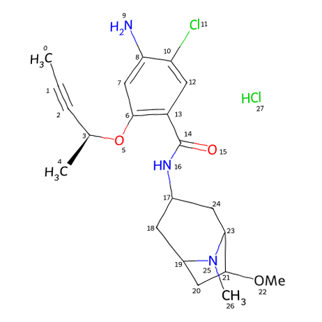 CC#C[C@H](C)Oc1cc(N)c(Cl)cc1C(=O)NC1CC2CC(OC)C(C1)N2C.Cl